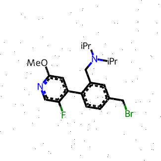 COc1cc(-c2ccc(CBr)cc2CN(C(C)C)C(C)C)c(F)cn1